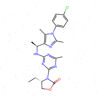 CC[C@H]1COC(=O)N1c1nc(C)nc(N[C@@H](C)c2nc(C)n(-c3ccc(Cl)cc3)c2C)n1